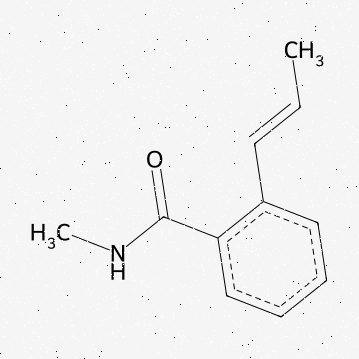 CC=Cc1ccccc1C(=O)NC